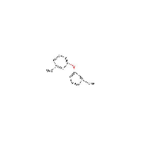 COc1cccc(Oc2cccc(OC)c2)c1